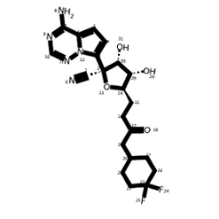 N#C[C@@]1(c2ccc3c(N)ncnn23)O[C@H](CCC(=O)CC2CCC(F)(F)CC2)[C@@H](O)[C@H]1O